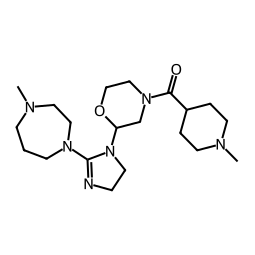 CN1CCC(C(=O)N2CCOC(N3CCN=C3N3CCCN(C)CC3)C2)CC1